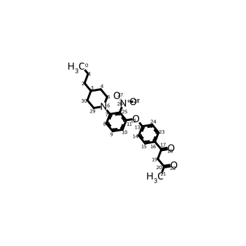 CCCC1CCN(c2cccc(Oc3ccc(C(=O)CC(C)=O)cc3)c2[N+](=O)[O-])CC1